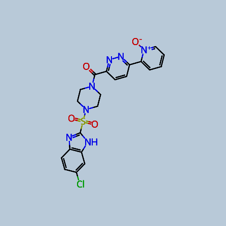 O=C(c1ccc(-c2cccc[n+]2[O-])nn1)N1CCN(S(=O)(=O)c2nc3ccc(Cl)cc3[nH]2)CC1